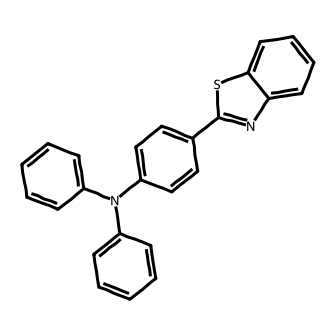 c1ccc(N(c2ccccc2)c2ccc(-c3nc4ccccc4s3)cc2)cc1